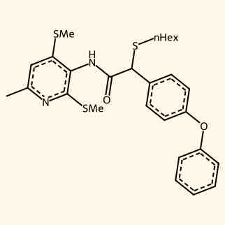 CCCCCCSC(C(=O)Nc1c(SC)cc(C)nc1SC)c1ccc(Oc2ccccc2)cc1